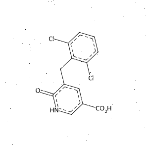 O=C(O)c1c[nH]c(=O)c(Cc2c(Cl)cccc2Cl)c1